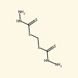 NNC(=S)SCSC(=S)NN